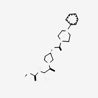 CC(C)[C@H](NC(=O)OC(C)(C)C)C(=O)N1C[C@H](OC(=O)N2CCN(c3ccccc3)CC2)C[C@H]1C(=O)O